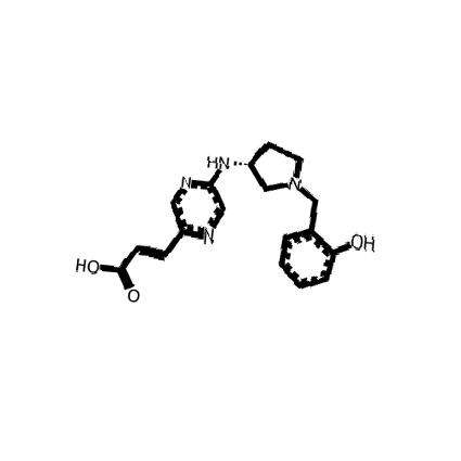 O=C(O)C=Cc1cnc(N[C@@H]2CCN(Cc3ccccc3O)C2)cn1